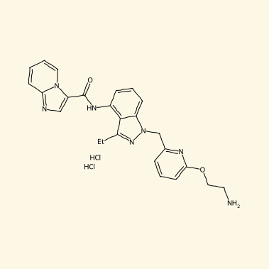 CCc1nn(Cc2cccc(OCCN)n2)c2cccc(NC(=O)c3cnc4ccccn34)c12.Cl.Cl